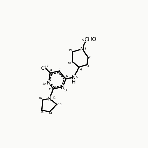 O=CN1CCC(Nc2cc(Cl)nc(N3CCCC3)n2)CC1